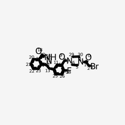 O=C(CBr)N1CCN(C(=O)c2cc(Cc3n[nH]c(=O)c4ccccc34)ccc2F)CC1